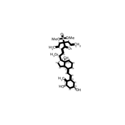 C=CCC(CC=C)(C(=O)/C=C/[C@@H](C)[C@H]1CCC2/C(=C/C=C3/C[C@@H](O)C[C@H](O)C3=C)CCC[C@@]21C)P(=O)(OC)OC